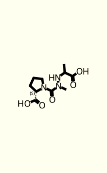 CC(NN(C)C(=O)N1CCC[C@H]1C(=O)O)C(=O)O